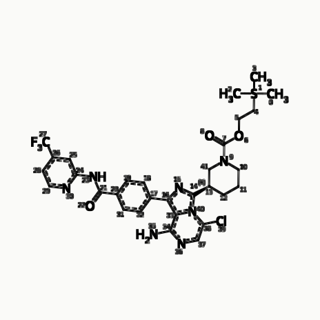 CS(C)(C)CCOC(=O)N1CCC[C@@H](c2nc(-c3ccc(C(=O)Nc4cc(C(F)(F)F)ccn4)cc3)c3c(N)ncc(Cl)n23)C1